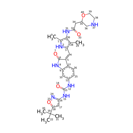 Cc1[nH]c(C=C2C(=O)Nc3cc(NC(=O)Nc4cc(C(C)(C)C)on4)ccc32)c(C)c1NC(=O)CC1CNCCO1